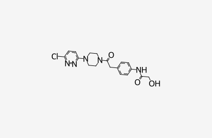 O=C(CO)Nc1ccc(CC(=O)N2CCN(c3ccc(Cl)nn3)CC2)cc1